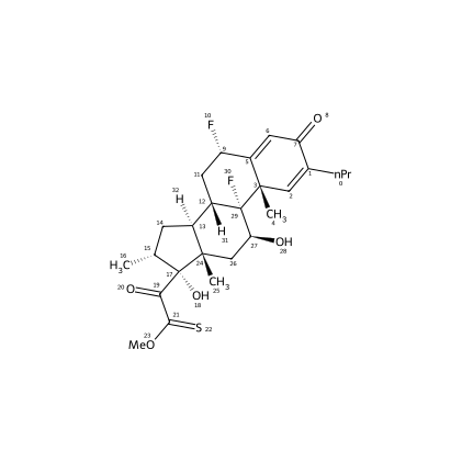 CCCC1=C[C@@]2(C)C(=CC1=O)[C@@H](F)C[C@H]1[C@@H]3C[C@@H](C)[C@](O)(C(=O)C(=S)OC)[C@@]3(C)C[C@H](O)[C@@]12F